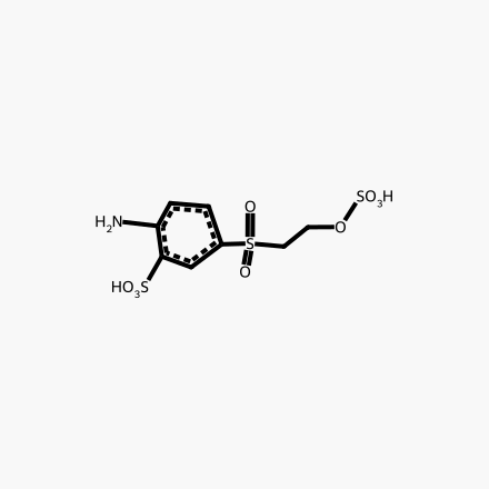 Nc1ccc(S(=O)(=O)CCOS(=O)(=O)O)cc1S(=O)(=O)O